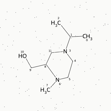 CC(C)N1CCN(C)C(CO)C1